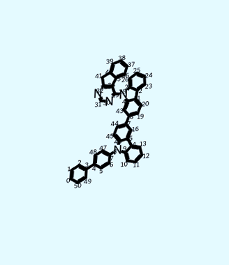 c1ccc(-c2ccc(-n3c4ccccc4c4cc(-c5ccc6c7ccccc7n(-c7ncnc8c7-c7ccccc7C8)c6c5)ccc43)cc2)cc1